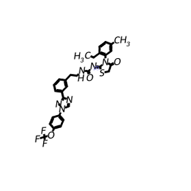 CCc1ccc(C)cc1N1C(=O)CS/C1=N\C(=O)NCCc1cccc(-c2ncn(-c3ccc(OC(F)(F)F)cc3)n2)c1